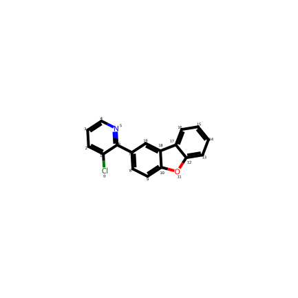 Clc1cccnc1-c1ccc2oc3ccccc3c2c1